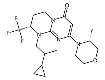 C[C@@H]1COCCN1c1cc(=O)n2c(n1)N(CC(F)C1CC1)[C@H](C(F)(F)F)CC2